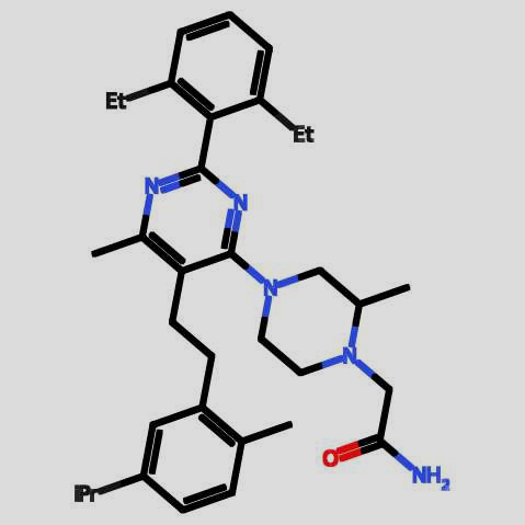 CCc1cccc(CC)c1-c1nc(C)c(CCc2cc(C(C)C)ccc2C)c(N2CCN(CC(N)=O)C(C)C2)n1